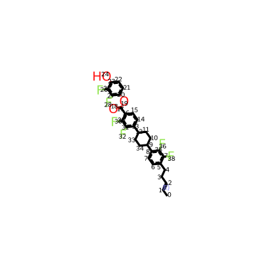 C/C=C/CCc1ccc(C2CCC(c3ccc(C(=O)Oc4ccc(O)c(F)c4F)c(F)c3F)CC2)c(F)c1F